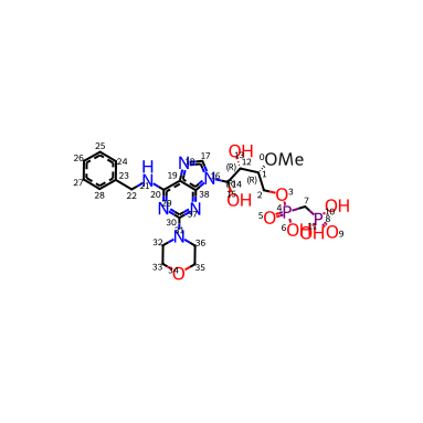 CO[C@H](COP(=O)(O)CP(=O)(O)O)[C@@H](O)[C@@H](O)n1cnc2c(NCc3ccccc3)nc(N3CCOCC3)nc21